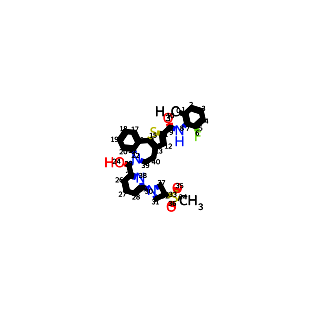 Cc1cccc(F)c1NC(=O)c1cc2c(s1)-c1ccccc1N(C(O)c1cccc(N3CC(S(C)(=O)=O)C3)n1)CC2